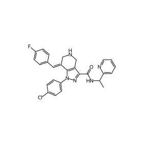 CC(NC(=O)c1nn(-c2ccc(Cl)cc2)c2c1CNC/C2=C\c1ccc(F)cc1)c1ccccn1